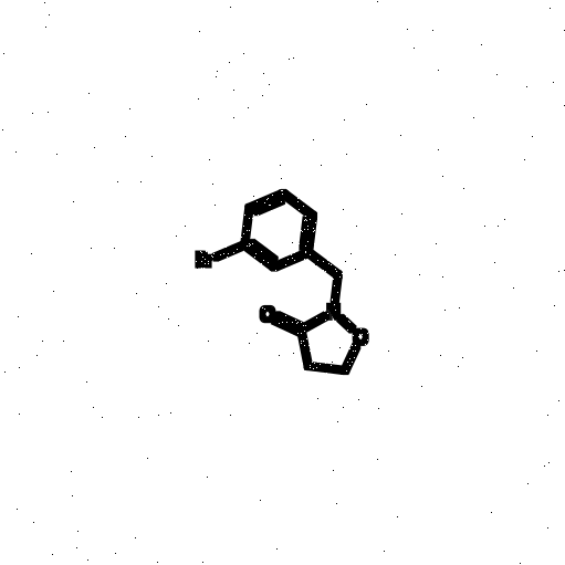 O=C1CCON1Cc1cccc(Br)c1